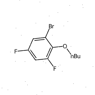 CCCCOc1c(F)cc(F)cc1Br